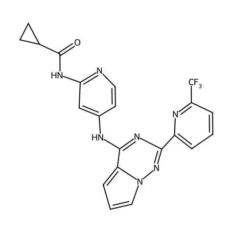 O=C(Nc1cc(Nc2nc(-c3cccc(C(F)(F)F)n3)nn3cccc23)ccn1)C1CC1